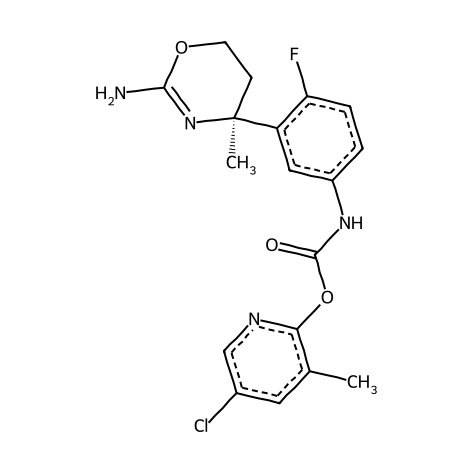 Cc1cc(Cl)cnc1OC(=O)Nc1ccc(F)c([C@]2(C)CCOC(N)=N2)c1